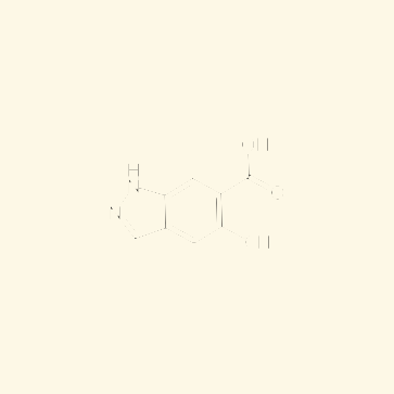 Cc1cc2cn[nH]c2cc1C(=O)O